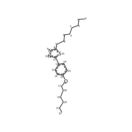 CCCCCCCCc1nnc(-c2ccc(OCCCCCC)cc2)s1